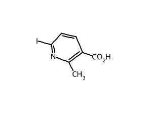 Cc1nc(I)ccc1C(=O)O